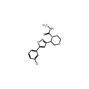 CNC(=S)N1CCOCC1c1cc(-c2cccc(Cl)c2)on1